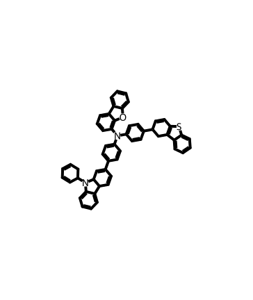 C1=CCC(N2c3ccccc3C3C=CC(c4ccc(N(c5ccc(C6C=Cc7sc8ccccc8c7C6)cc5)c5cccc6c5oc5ccccc56)cc4)=CC32)C=C1